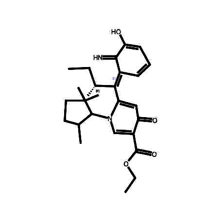 CCOC(=O)c1cn(C2C(C)CCC2(C)C)c(/C(=C2\C=CC=C(O)C2=N)[C@H](C)CC)cc1=O